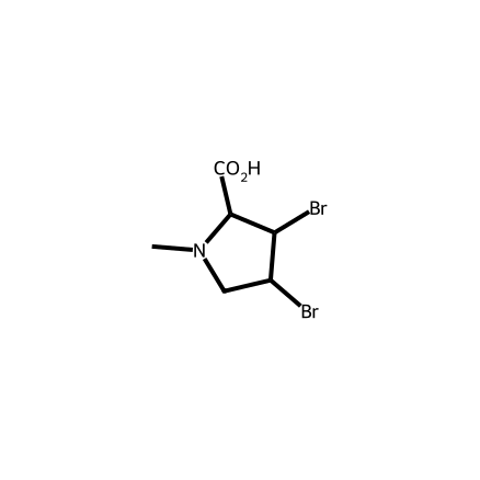 CN1CC(Br)C(Br)C1C(=O)O